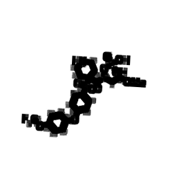 COCCN(OP(=O)(O)O)C(=O)C1(S(=O)(=O)c2ccc(Oc3ccc(OC(F)(F)F)cc3)cc2)CCNCC1